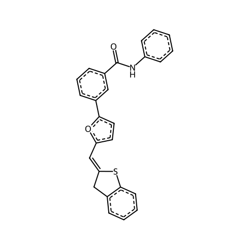 O=C(Nc1ccccc1)c1cccc(-c2ccc(/C=C3/Cc4ccccc4S3)o2)c1